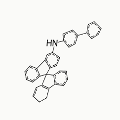 C1=CC2=C(CC1)c1ccccc1C21c2ccccc2-c2cc(Nc3ccc(-c4ccccc4)cc3)ccc21